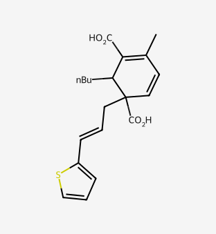 CCCCC1C(C(=O)O)=C(C)C=CC1(CC=Cc1cccs1)C(=O)O